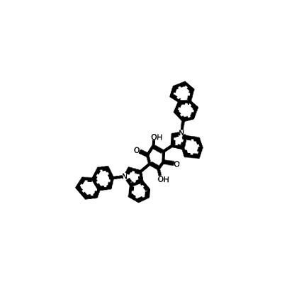 O=C1C(O)=C(c2cn(-c3ccc4ccccc4c3)c3ccccc23)C(=O)C(O)=C1c1cn(-c2ccc3ccccc3c2)c2ccccc12